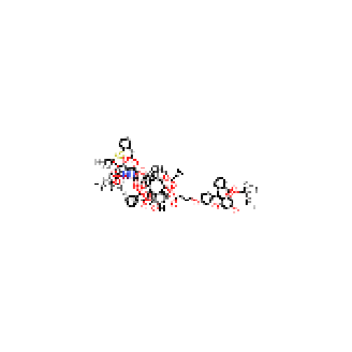 CC(=O)CCC(C)SSc1ccccc1CC(=O)O[C@@H](C(=O)O[C@H]1C[C@@]2(O)[C@@H](OC(=O)c3ccccc3)[C@@H]3[C@]4(OC(C)=O)CO[C@@H]4C[C@H](OC(=O)CCCOc4ccc5c(-c6ccccc6C(=O)OCC(C)C)c6ccc(=O)cc-6oc5c4)[C@@]3(C)C(=O)[C@H](OC(=O)C3CC3)C(=C1C)C2(C)C)[C@H](C=C(C)C)NC(=O)OC(C)(C)C